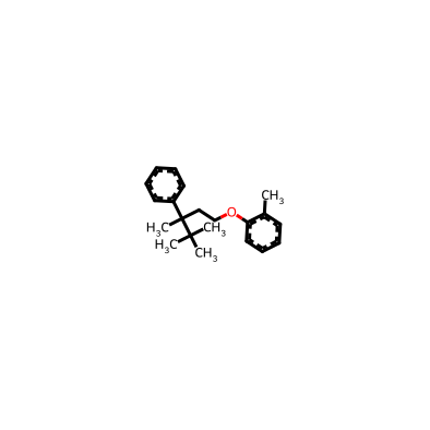 Cc1ccccc1OCCC(C)(c1ccccc1)C(C)(C)C